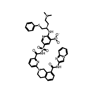 CN(C)CC[C@H](CSc1ccccc1)Nc1ncc(S(=O)(=O)NC(=O)c2cccc(N3CCc4cccc(C(=O)Nc5cn6ccccc6n5)c4C3)n2)cc1[N+](=O)[O-]